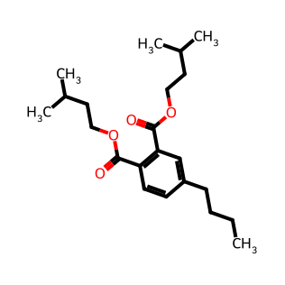 CCCCc1ccc(C(=O)OCCC(C)C)c(C(=O)OCCC(C)C)c1